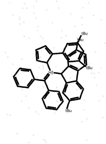 CC(C)(C)c1cc(C2=CC=C[CH]2[Hf](=[C](c2ccccc2)c2ccccc2)[CH]2c3cc(C(C)(C)C)ccc3-c3ccc(C(C)(C)C)cc32)cc(C(C)(C)C)c1